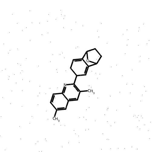 Cc1ccc2nc(C3C=C4C(=CC3)C3CCC4O3)c(C)cc2c1